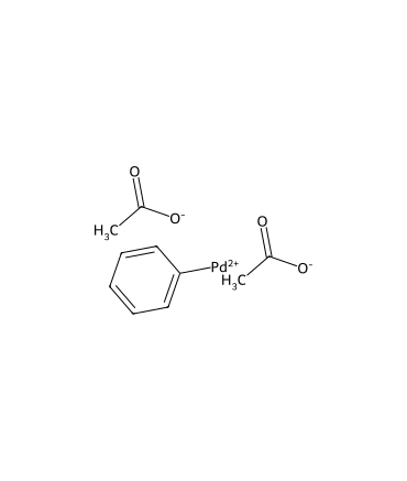 CC(=O)[O-].CC(=O)[O-].[Pd+2][c]1ccccc1